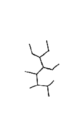 [CH2]C(C)C(C)C(C)C(CC)C(CC)CC